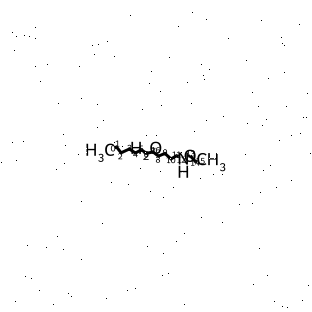 CCCCCCCCCCCCNOCC.O